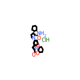 Cl.NC(=O)[C@@H]1[C@H](C2CCCCC2)CCN1c1ccc2c(c1)cc1n2C2(CCCCC2=O)OC1=O